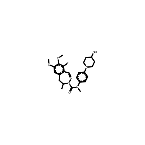 COc1cc2c(c(F)c1OC)C=NN(C(=O)N(C)c1ccc(N3CCC(O)CC3)cc1)C(C)C2